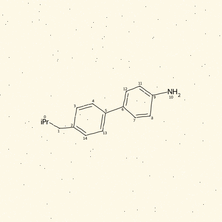 CC(C)Cc1ccc(-c2ccc(N)cc2)cc1